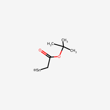 CC(C)(C)OC(=O)[CH2][SnH]